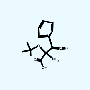 CC(C)(C)OC(N)(C(=O)O)C(=C=O)c1ccccc1